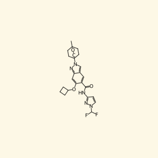 CC12CCC(n3cc4cc(C(=O)Nc5ccn(C(F)F)n5)c(OC5CCC5)cc4n3)(CC1)CO2